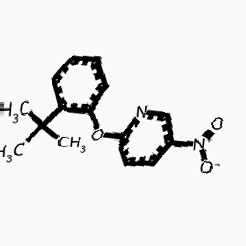 CC(C)(C)c1ccccc1Oc1ccc([N+](=O)[O-])cn1